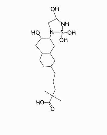 CC(C)(CCCC1CCC2CC(O)C(N3CC(O)NS3(O)O)CC2C1)C(=O)O